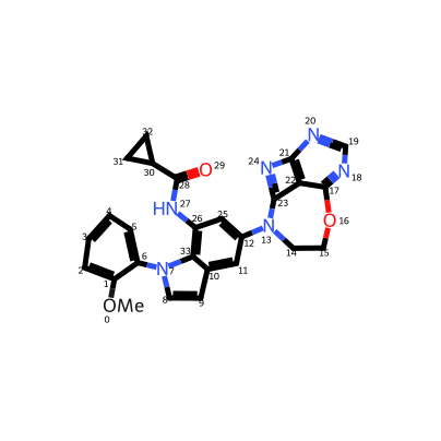 COc1ccccc1-n1ccc2cc(N3CCOc4ncnc5c4C3=N5)cc(NC(=O)C3CC3)c21